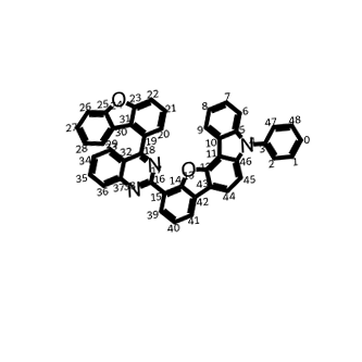 c1ccc(-n2c3ccccc3c3c4oc5c(-c6nc(-c7cccc8oc9ccccc9c78)c7ccccc7n6)cccc5c4ccc32)cc1